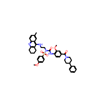 COc1ccc(S(=O)(=O)N(CCNc2c3c(nc4ccc(C)cc24)CCCC3)C(=O)Nc2ccc(C(=O)N3CCC(c4ccccc4)CC3)cc2OC)cc1